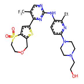 CCc1nc(N2CCN(CCO)CC2)ccc1Nc1ncc(C(F)(F)F)c(-c2cc3c(s2)COCCS3(=O)=O)n1